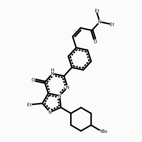 CCc1nc(C2CCC(C(C)(C)C)CC2)n2nc(-c3cccc(/C=C\C(=O)N(CC)CC)c3)[nH]c(=O)c12